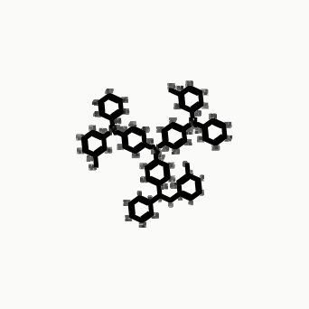 Cc1cccc(CC(c2ccccc2)c2ccc(N(c3ccc(N(c4ccccc4)c4cccc(C)c4)cc3)c3ccc(N(c4ccccc4)c4cccc(C)c4)cc3)cc2)c1